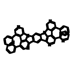 c1ccc(-c2cncc3c2c2c(-c4ccccn4)cnc4c5cc6c7ncc(-c8ccccn8)c8c9c(-c%10ccccn%10)cncc9n(c6cc5n3c42)c78)nc1